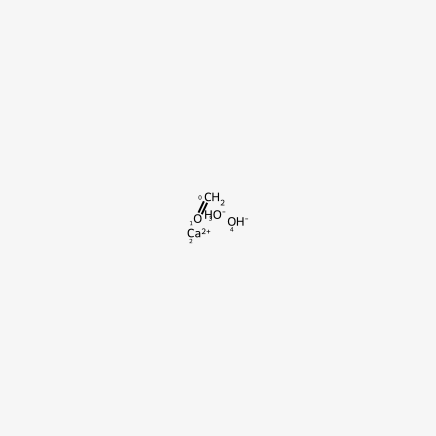 C=O.[Ca+2].[OH-].[OH-]